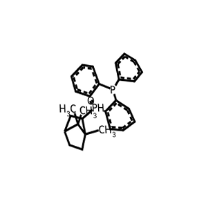 CC1(C)C2CCC1(C)C([PH](=O)c1ccccc1P(c1ccccc1)c1ccccc1)C2